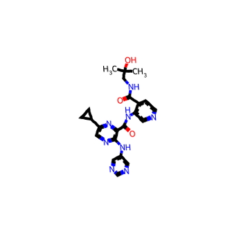 CC(C)(O)CNC(=O)c1ccncc1NC(=O)c1nc(C2CC2)cnc1Nc1cncnc1